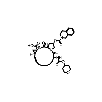 O=C(N[C@H]1CCCCCC=C[C@@H]2C[C@@]2(C(=O)O)NC(=O)[C@@H]2C[C@@H](OC(=O)N3CCc4ccccc4C3)CN2C1=O)OC1CCOCC1